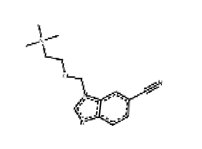 C[Si](C)(C)CCOCn1cnc2ccc(C#N)cc21